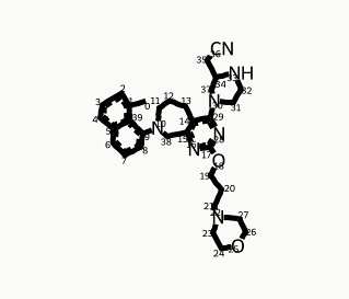 Cc1cccc2cccc(N3CCCc4c(nc(OCCCN5CCOCC5)nc4N4CCNC(CC#N)C4)C3)c12